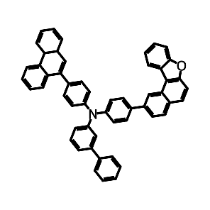 C1=CC2C=C(c3ccc(N(c4ccc(-c5ccc6ccc7oc8ccccc8c7c6c5)cc4)c4cccc(-c5ccccc5)c4)cc3)c3ccccc3C2C=C1